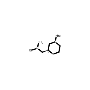 CCCCN1CCO[C@@H](CN(C)CC)C1